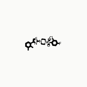 Cc1cccc(-c2csc(N3CCN(S(=O)(=O)c4ccc(F)cc4Cl)CC3)n2)c1C